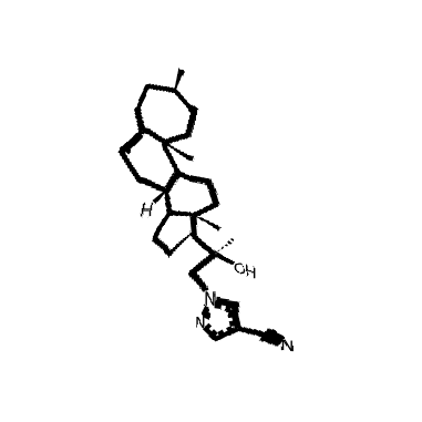 C[C@@H]1CCC2=CC[C@@H]3C(CC[C@@]4(C)C3CC[C@@H]4[C@@](C)(O)Cn3cc(C#N)cn3)[C@@]2(C)CC1